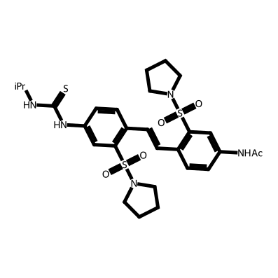 CC(=O)Nc1ccc(/C=C/c2ccc(NC(=S)NC(C)C)cc2S(=O)(=O)N2CCCC2)c(S(=O)(=O)N2CCCC2)c1